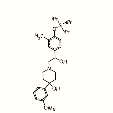 COc1cccc(C2(O)CCN(CC(O)c3ccc(O[Si](C(C)C)(C(C)C)C(C)C)c(C)c3)CC2)c1